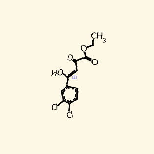 CCOC(=O)C(=O)/C=C(\O)c1ccc(Cl)c(Cl)c1